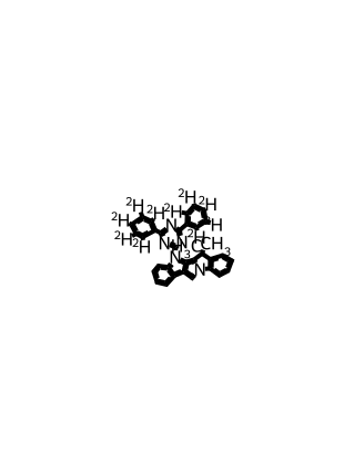 [2H]c1c([2H])c([2H])c(-c2nc(-c3c([2H])c([2H])c([2H])c([2H])c3[2H])nc(-n3c4ccccc4c4cn5c(c43)C(C)(C)c3ccccc3-5)n2)c([2H])c1[2H]